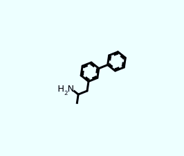 CC(N)Cc1cccc(-c2ccccc2)c1